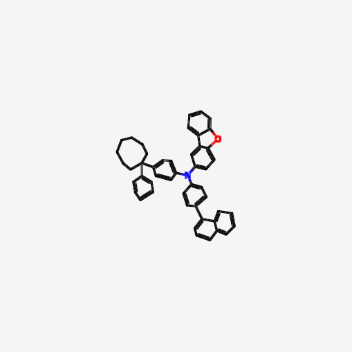 c1ccc(C2(c3ccc(N(c4ccc(-c5cccc6ccccc56)cc4)c4ccc5oc6ccccc6c5c4)cc3)CCCCCCC2)cc1